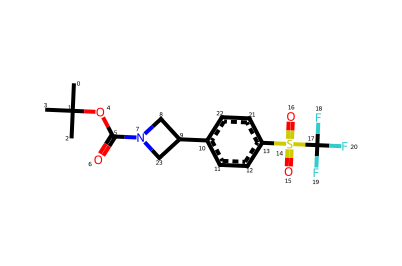 CC(C)(C)OC(=O)N1CC(c2ccc(S(=O)(=O)C(F)(F)F)cc2)C1